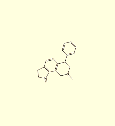 CN1Cc2c(ccc3c2NCC3)C(c2ccccc2)C1